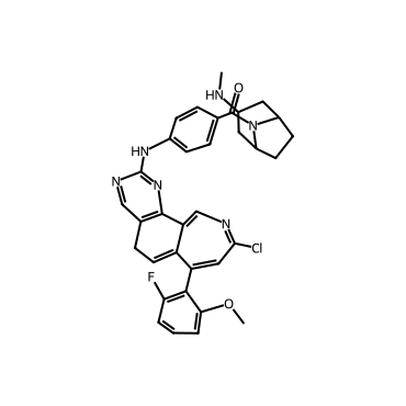 CNC1CC2CCC(C1)N2C(=O)c1ccc(Nc2ncc3c(n2)C2=CN=C(Cl)C=C(c4c(F)cccc4OC)C2=CC3)cc1